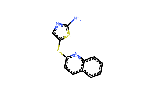 Nc1ncc(Sc2ccc3ccccc3n2)s1